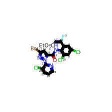 CCOC(=O)/C=C(/F)c1cc(Cl)cc(Cl)c1NC(=O)c1cc(Br)nn1-c1ncccc1Cl